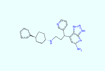 Nc1cc(C(CCN[C@H]2CC[C@H](c3ccccc3)CC2)c2cccnc2)c2nn[nH]c2n1